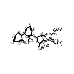 COc1cc(-c2cccc(-c3ccccc3Cl)c2Cl)cnc1CN(C)CCO